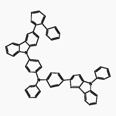 c1ccc(-c2ccccc2-c2ccc3c(c2)c2ccccc2n3-c2ccc(N(c3ccccc3)c3ccc(-c4ccc5c(c4)c4ccccc4n5-c4ccccc4)cc3)cc2)cc1